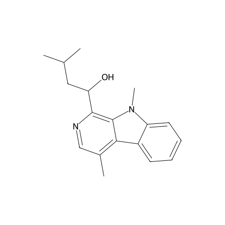 Cc1cnc(C(O)CC(C)C)c2c1c1ccccc1n2C